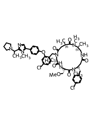 COC[C@@H]1NC(=O)[C@H](C)N(Cc2ccc(Cl)cc2Oc2ccc(-c3cnc(C(C)N4CCCC4)n3C)cc2)C(=O)C[C@@H](C)C(=O)N(C)[C@@H](C)CNC(=O)C[C@H](Cc2ccc(Cl)cc2)N(C)C1=O